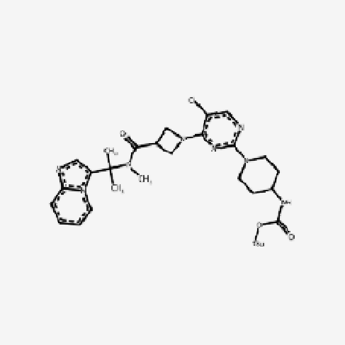 CN(C(=O)C1CN(c2nc(N3CCC(NC(=O)OC(C)(C)C)CC3)ncc2Cl)C1)C(C)(C)c1cnc2ccccn12